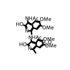 COc1cc2c(C)nc(O)c(NC(C)=O)c2cc1OC.COc1cc2c(C)nc(O)c(NC(C)=O)c2cc1OC.O